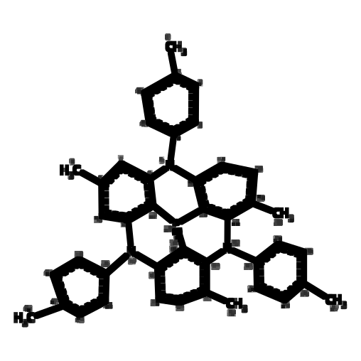 Cc1ccc(N2c3cc(C)cc4c3P3(=S)c5c2ccc(C)c5N(c2ccc(C)cc2)c2c(C)ccc(c23)N4c2ccc(C)cc2)cc1